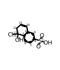 O=S(=O)(O)c1ccc2c(c1)C=CCC2(O)Cl